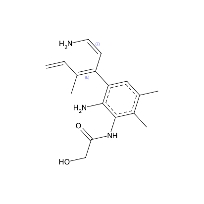 C=C/C(C)=C(\C=C/N)c1cc(C)c(C)c(NC(=O)CO)c1N